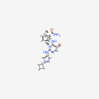 NC(=O)[C@@H]1[C@H](Nc2nc(Nc3cnn(C4CCC4)c3)ncc2Br)[C@H]2C=C[C@@H]1C2